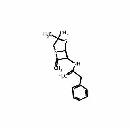 C=C(Cc1ccccc1)NC1C(=C)N2CC(C)(C)SC12